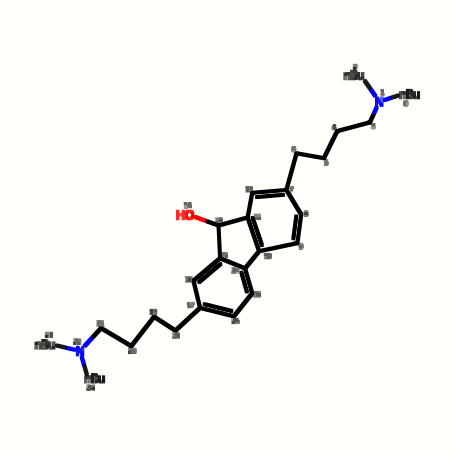 CCCCN(CCCC)CCCCc1ccc2c(c1)C(O)c1cc(CCCCN(CCCC)CCCC)ccc1-2